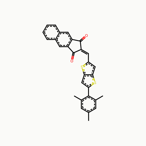 Cc1cc(C)c(-c2cc3sc(C=C4C(=O)c5cc6ccccc6cc5C4=O)cc3s2)c(C)c1